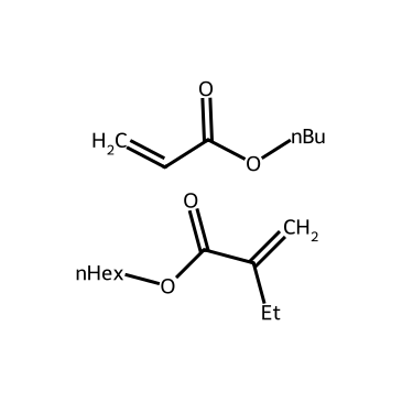 C=C(CC)C(=O)OCCCCCC.C=CC(=O)OCCCC